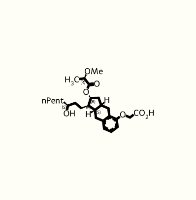 CCCCC[C@H](O)CC[C@@H]1[C@H]2Cc3cccc(OCC(=O)O)c3C[C@H]2C[C@H]1OC(=O)[C@@H](C)OC